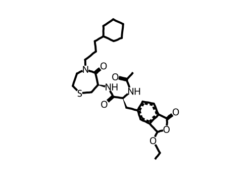 CCOC1OC(=O)c2ccc(C[C@H](NC(C)=O)C(=O)N[C@H]3CSCCN(CCCC4CCCCC4)C3=O)cc21